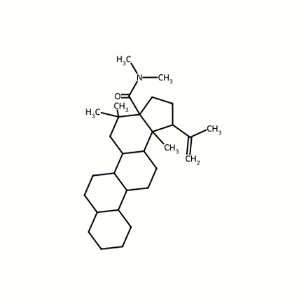 C=C(C)C1CCC2(C(=O)N(C)C)C(C)(C)CC3C4CCC5CCCCC5C4CCC3C12C